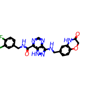 O=C1COc2ccc(CNc3n[nH]c4c(C(=O)NCc5ccc(F)c(Cl)c5)ncnc34)cc2N1